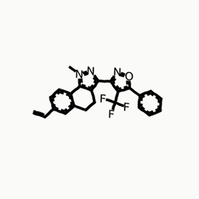 C=Cc1ccc2c(c1)CCc1c(-c3noc(-c4ccccc4)c3C(F)(F)F)nn(C)c1-2